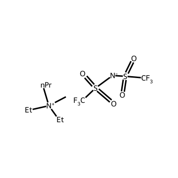 CCC[N+](C)(CC)CC.O=S(=O)([N-]S(=O)(=O)C(F)(F)F)C(F)(F)F